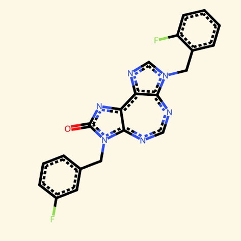 O=c1nc2c3ncn(Cc4ccccc4F)c3ncnc-2n1Cc1cccc(F)c1